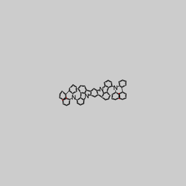 c1ccc(-c2ccccc2N(c2ccccc2)c2cccc3c2c2cccc4c5cc6c(cc5n3c42)c2cccc3c4c(N(c5ccccc5)c5ccccc5-c5ccccc5)cccc4n6c23)cc1